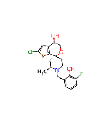 C[C@H]1C[C@@]2(CCN1Cc1cccc(F)c1O)OC[C@H](O)c1cc(Cl)sc12